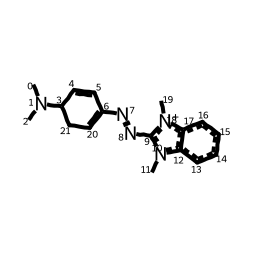 CN(C)C1C=CC(/N=N/c2n(C)c3ccccc3[n+]2C)=CC1